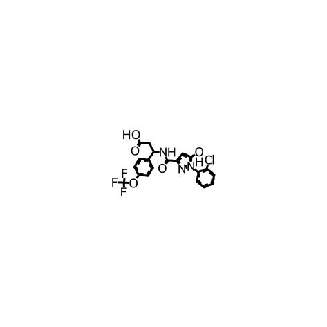 O=C(O)CC(NC(=O)c1cc(O)n(-c2ccccc2Cl)n1)c1ccc(OC(F)(F)F)cc1